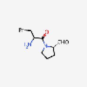 CC(C)CC(N)C(=O)N1CCC[C@H]1C=O